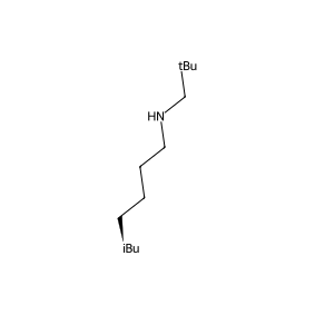 CC[C@H](C)CCCCNCC(C)(C)C